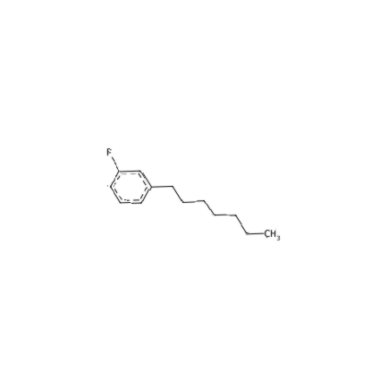 CCCCCCCc1cc[c]c(F)c1